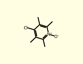 Cc1c(Cl)c(C)c(C)[n+]([O-])c1C